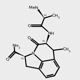 CN[C@@H](C)C(=O)N[C@@H]1C(=O)N2c3c(cccc3C1C)C[C@H]2C(N)=O